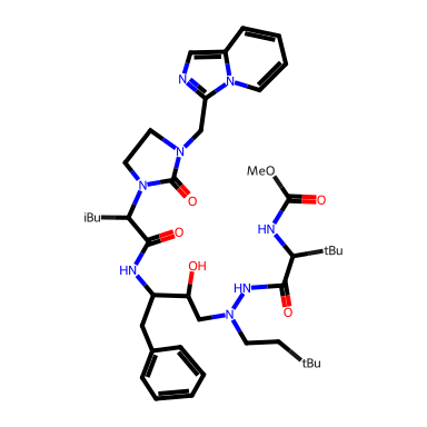 CCC(C)C(C(=O)NC(Cc1ccccc1)C(O)CN(CCC(C)(C)C)NC(=O)C(NC(=O)OC)C(C)(C)C)N1CCN(Cc2ncc3ccccn23)C1=O